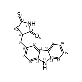 O=C1NC(=S)SC1Cc1ccc2[nH]c3ccccc3c2c1